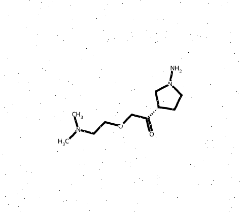 CN(C)CCOCC(=O)[C@H]1CCN(N)C1